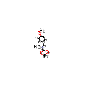 CCOc1ccc(/C=C(\C#N)C(=O)OC(C)C)cc1